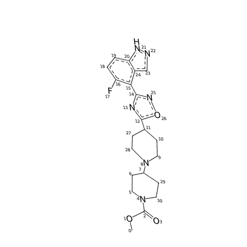 COC(=O)N1CCC(N2CCC(c3nc(-c4c(F)ccc5[nH]ncc45)no3)CC2)CC1